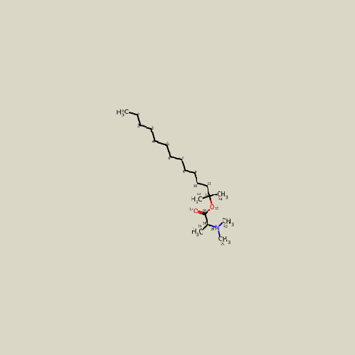 CCCCCCCCCCCCC(C)(C)OC(=O)C(C)N(C)C